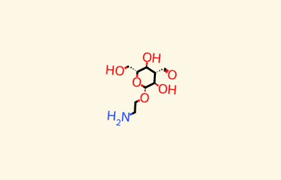 NCCO[C@@H]1O[C@H](CO)[C@@H](O)[C@H](C=O)[C@H]1O